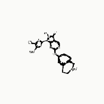 CC(C)n1c(=O)c2cnc(Nc3ccc4c(c3)CCNC4)nc2n1-c1nc(C(C)(C)C)c(Cl)s1